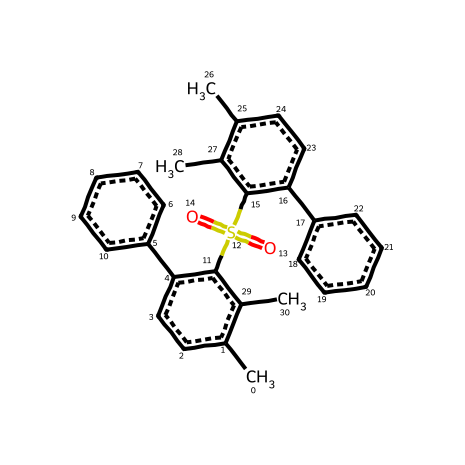 Cc1ccc(-c2ccccc2)c(S(=O)(=O)c2c(-c3ccccc3)ccc(C)c2C)c1C